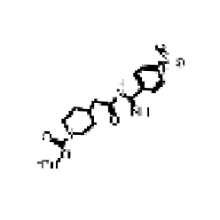 CC(C)(C)OC(=O)N1CCC(CC(=O)NC(=N)c2ccc([SH](=O)=O)cc2)CC1